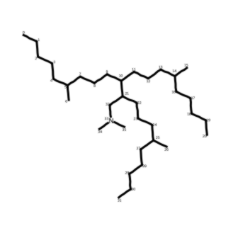 CCCCCC(C)CCCC(CCCC(C)CCCCC)C(CCCC(C)CCCCC)CN(C)C